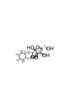 OC[C@H]1O[C@](O)(C(O)Cc2ccccc2)[C@@H](O)[C@H]1O